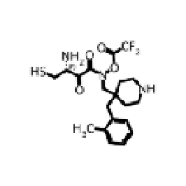 Cc1ccccc1CC1(CN(OC(=O)C(F)(F)F)C(=O)C(=O)[C@@H](N)CS)CCNCC1